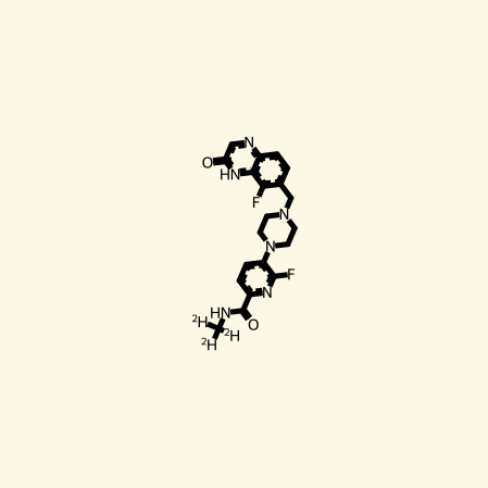 [2H]C([2H])([2H])NC(=O)c1ccc(N2CCN(Cc3ccc4ncc(=O)[nH]c4c3F)CC2)c(F)n1